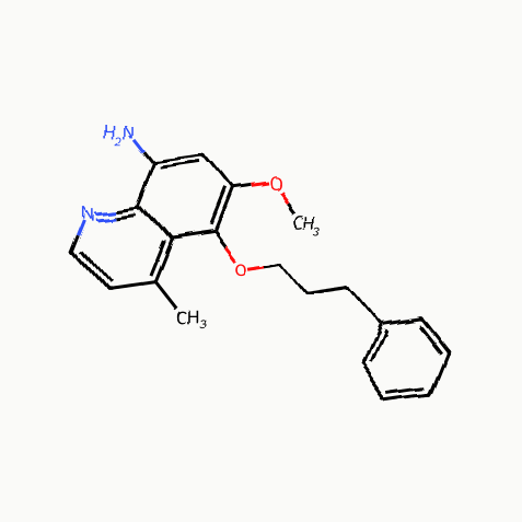 COc1cc(N)c2nccc(C)c2c1OCCCc1ccccc1